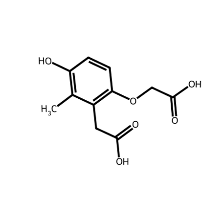 Cc1c(O)ccc(OCC(=O)O)c1CC(=O)O